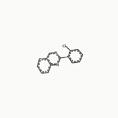 Clc1ccccc1-c1ncc2ccccc2n1